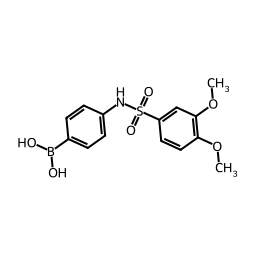 COc1ccc(S(=O)(=O)Nc2ccc(B(O)O)cc2)cc1OC